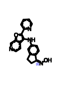 O/N=C1/CCc2cc(Nc3c(-c4ccccn4)oc4cnccc34)ccc21